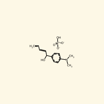 C=CC=CC(O)c1ccc(N(C)C)cc1.[O-][Cl+3]([O-])([O-])O